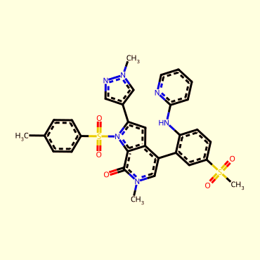 Cc1ccc(S(=O)(=O)n2c(-c3cnn(C)c3)cc3c(-c4cc(S(C)(=O)=O)ccc4Nc4ccccn4)cn(C)c(=O)c32)cc1